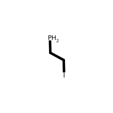 PCCI